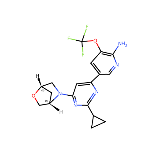 Nc1ncc(-c2cc(N3C[C@@H]4C[C@H]3CO4)nc(C3CC3)n2)cc1OC(F)(F)F